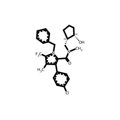 Cc1c(-c2ccc(Cl)cc2)c(C(=O)N(C)C[C@@H]2CCC[C@@H]2O)n(Cc2ccccc2)c1C(F)(F)F